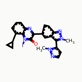 Cn1nccc1-c1c2cc(-c3nc4cccc(C5CC5)c4n(I)c3=O)ccc2nn1C